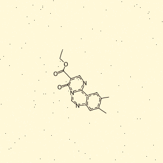 CCOC(=O)c1cnc2c3cc(C)c(C)cc3ncn2c1=O